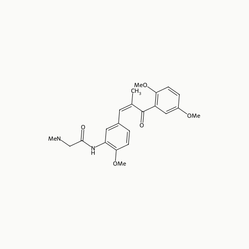 CNCC(=O)Nc1cc(C=C(C)C(=O)c2cc(OC)ccc2OC)ccc1OC